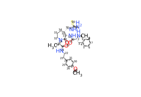 CN[C@H](Cc1ccccc1)C(=O)N[C@@H]1C(=O)N([C@@H](C)C(=O)NCCc2ccc(OC)cc2)CCC[C@@H]1CNC(N)=S